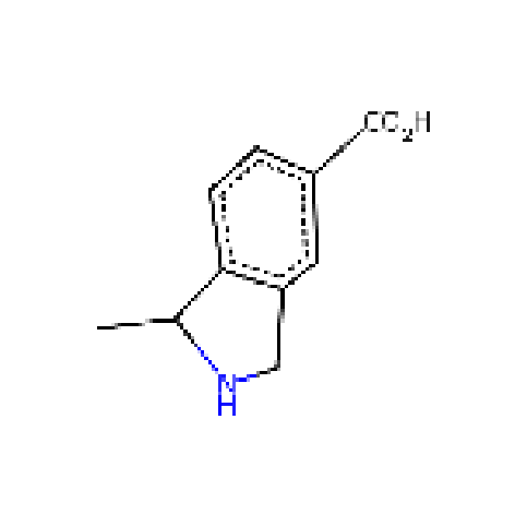 CC1NCc2cc(C(=O)O)ccc21